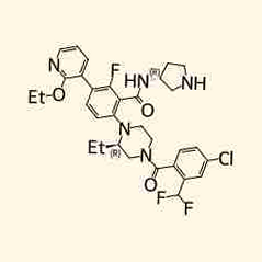 CCOc1ncccc1-c1ccc(N2CCN(C(=O)c3ccc(Cl)cc3C(F)F)C[C@H]2CC)c(C(=O)N[C@@H]2CCNC2)c1F